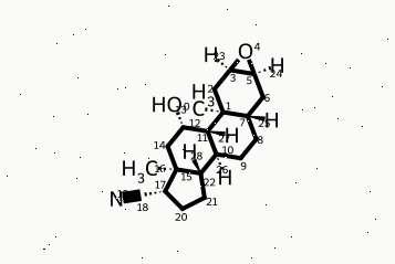 C[C@]12C[C@H]3O[C@H]3C[C@@H]1CC[C@@H]1[C@@H]2[C@@H](O)C[C@]2(C)[C@@H](C#N)CC[C@@H]12